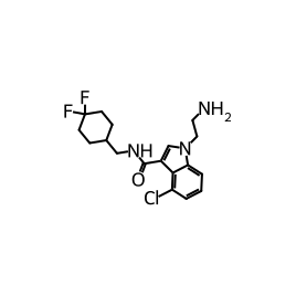 NCCn1cc(C(=O)NCC2CCC(F)(F)CC2)c2c(Cl)cccc21